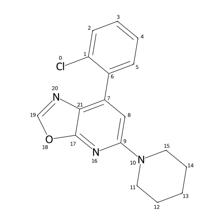 Clc1ccccc1-c1cc(N2CCCCC2)nc2ocnc12